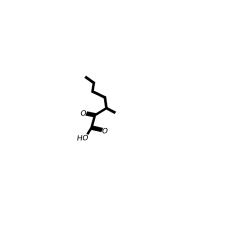 CCCCC(C)C(=O)C(=O)O